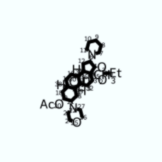 CCC(=O)O[C@H]1[C@@H](N2CCCCC2)C[C@H]2[C@@H]3CC[C@H]4C[C@H](OC(C)=O)[C@@H](N5CCOCC5)C[C@]4(C)[C@H]3CC[C@@]21C